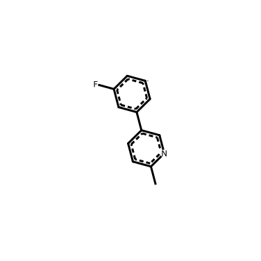 Cc1ccc(-c2c[c]cc(F)c2)cn1